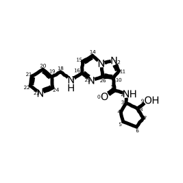 O=C(NC1CCCCC1O)c1cnn2ccc(NCc3cccnc3)nc12